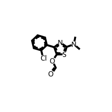 CN(C)c1nc(-c2ccccc2Cl)c(OC=O)s1